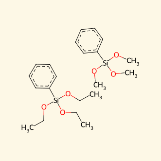 CCO[Si](OCC)(OCC)c1ccccc1.CO[Si](OC)(OC)c1ccccc1